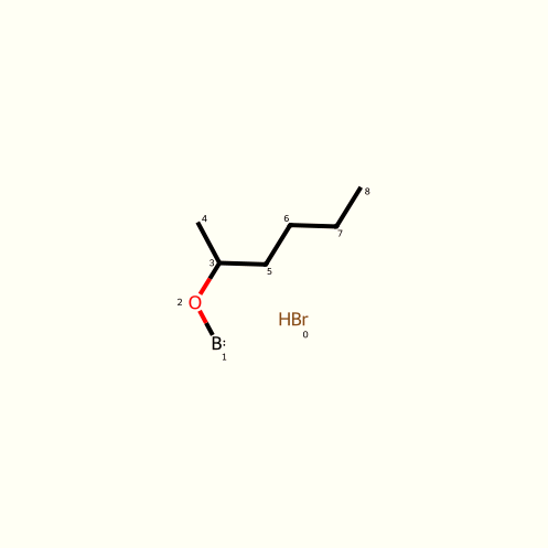 Br.[B]OC(C)CCCC